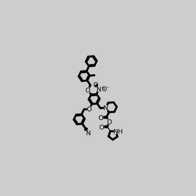 Cc1c(COc2cc(OCc3cccc(C#N)c3)c(CN3CCCCC3C(=O)OC(=O)[C@@H]3CCCN3)cc2[N+](=O)[O-])cccc1-c1ccccc1